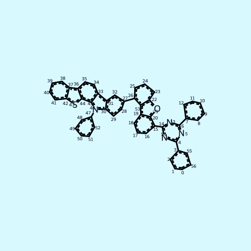 c1ccc(-c2nc(-c3ccccc3)nc(-c3cccc4c3oc3cccc(-c5ccc6c(c5)c5ccc7c8ccccc8sc7c5n6-c5ccccc5)c34)n2)cc1